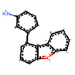 Nc1cccc(-c2cccc3oc4ccccc4c23)c1